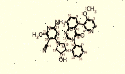 COc1ccncc1-c1cccc2nc([C@@H]3C[C@H](O)CN3c3nc(N)nc(C)c3C#N)n(-c3ccccc3)c(=O)c12